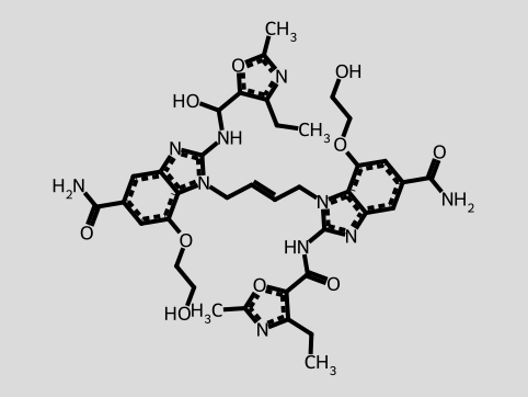 CCc1nc(C)oc1C(=O)Nc1nc2cc(C(N)=O)cc(OCCO)c2n1C/C=C/Cn1c(NC(O)c2oc(C)nc2CC)nc2cc(C(N)=O)cc(OCCO)c21